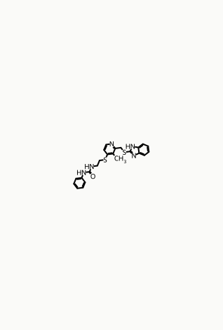 Cc1c(SCCNC(=O)Nc2ccccc2)ccnc1CSc1nc2ccccc2[nH]1